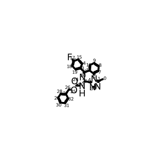 Cc1nnc2n1-c1ccccc1C(c1ccc(F)cc1)=NC2NC(=O)OCc1ccccc1